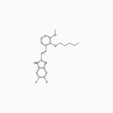 CCCCCOc1c(/C=C/c2nc3cc(F)c(F)cc3[nH]2)cccc1OC